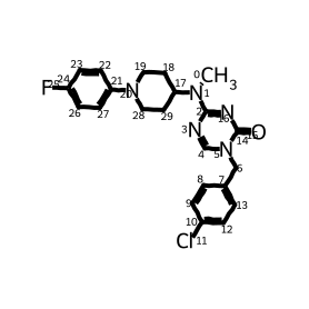 CN(c1ncn(Cc2ccc(Cl)cc2)c(=O)n1)C1CCN(c2ccc(F)cc2)CC1